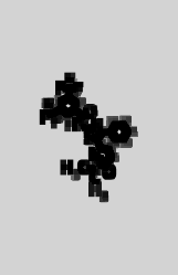 CC(C)n1nc(-c2sc(NC(=O)c3cc(C(F)(F)F)cc(C(F)(F)F)c3)nc2-c2ccccc2)ccc1=O